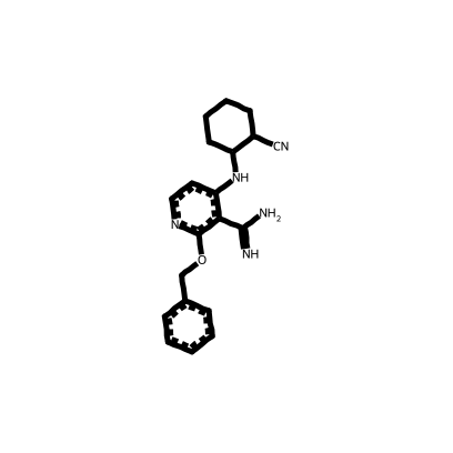 N#CC1CCCCC1Nc1ccnc(OCc2ccccc2)c1C(=N)N